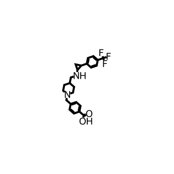 O=C(O)c1ccc(CN2CCC(CNC3CC3c3ccc(C(F)(F)F)cc3)CC2)cc1